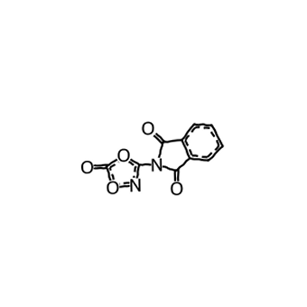 O=C1c2ccccc2C(=O)N1c1noc(=O)o1